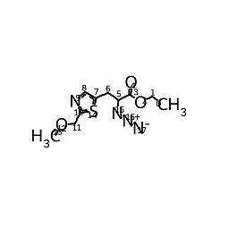 CCOC(=O)C(Cc1cnc(COC)s1)N=[N+]=[N-]